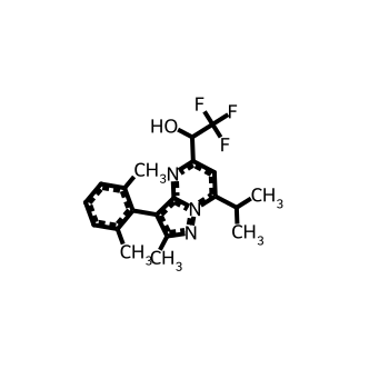 Cc1cccc(C)c1-c1c(C)nn2c(C(C)C)cc(C(O)C(F)(F)F)nc12